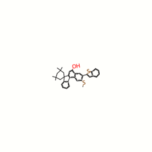 CSc1cc2c3c(cc(O)c2cc1-c1cc2ccccc2s1)C1(CC(C)(C)CC(C)(C)C1)c1ccccc1-3